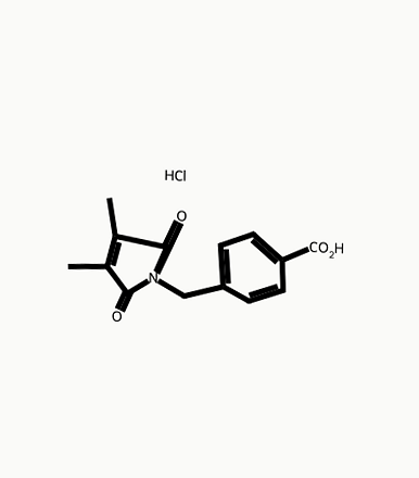 CC1=C(C)C(=O)N(Cc2ccc(C(=O)O)cc2)C1=O.Cl